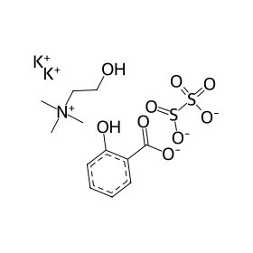 C[N+](C)(C)CCO.O=C([O-])c1ccccc1O.O=S([O-])S(=O)(=O)[O-].[K+].[K+]